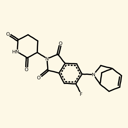 O=C1CCC(N2C(=O)c3cc(F)c(N4CC5C=CCC4C5)cc3C2=O)C(=O)N1